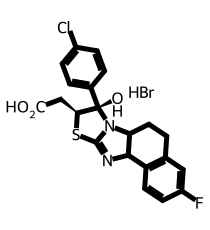 Br.O=C(O)C[C@@H]1SC2=NC3c4ccc(F)cc4CCC3N2[C@@]1(O)c1ccc(Cl)cc1